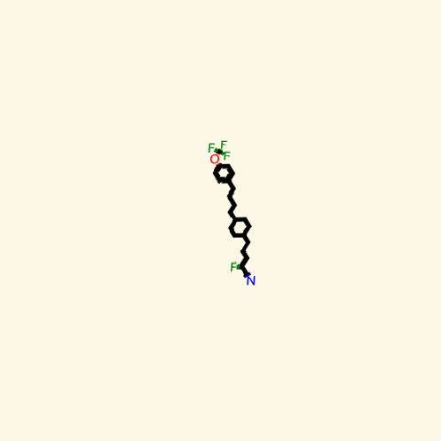 N#CC(F)=CCCC1CCC(CCCCc2ccc(OC(F)(F)F)cc2)CC1